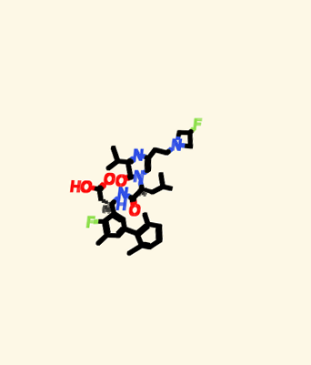 Cc1cc(-c2c(C)cccc2C)cc([C@H](CC(=O)O)NC(=O)[C@H](CC(C)C)n2cc(CCN3CC(F)C3)nc(C(C)C)c2=O)c1F